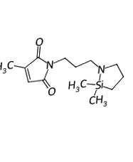 CC1=CC(=O)N(CCCN2CCC[Si]2(C)C)C1=O